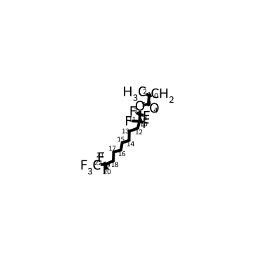 C=C(C)C(=O)OC(F)(F)C(F)(F)CCCCCCCC(F)(F)C(F)(F)F